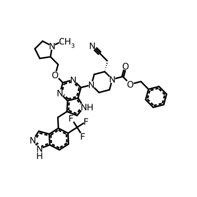 CN1CCCC1COc1nc(N2CCN(C(=O)OCc3ccccc3)[C@@H](CC#N)C2)c2[nH]cc(Cc3c(C(F)(F)F)ccc4[nH]ncc34)c2n1